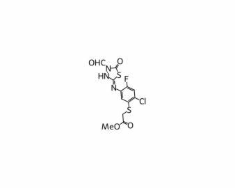 COC(=O)CSc1cc(N=c2[nH]n(C=O)c(=O)s2)c(F)cc1Cl